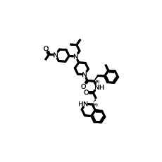 CC(=O)N1CCC(N(CC(C)C)C2CCN(C(=O)[C@@H](Cc3ccccc3C)NC(=O)C[C@H]3NCCc4ccccc43)CC2)CC1